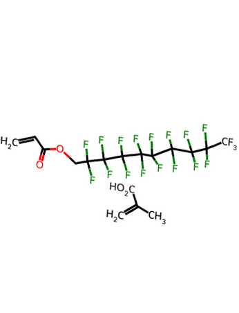 C=C(C)C(=O)O.C=CC(=O)OCC(F)(F)C(F)(F)C(F)(F)C(F)(F)C(F)(F)C(F)(F)C(F)(F)C(F)(F)C(F)(F)F